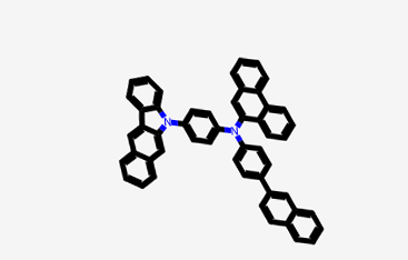 c1ccc2cc(-c3ccc(N(c4ccc(-n5c6ccccc6c6cc7ccccc7cc65)cc4)c4cc5ccccc5c5ccccc45)cc3)ccc2c1